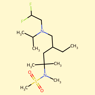 CCC(CN(CC(F)F)C(C)C)CC(C)(C)N(C)S(C)(=O)=O